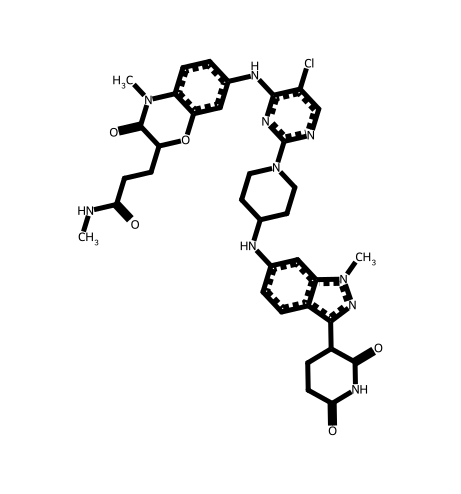 CNC(=O)CCC1Oc2cc(Nc3nc(N4CCC(Nc5ccc6c(C7CCC(=O)NC7=O)nn(C)c6c5)CC4)ncc3Cl)ccc2N(C)C1=O